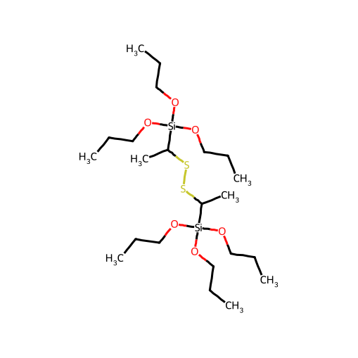 CCCO[Si](OCCC)(OCCC)C(C)SSC(C)[Si](OCCC)(OCCC)OCCC